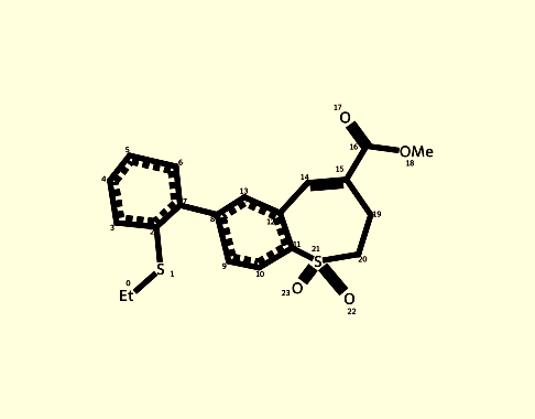 CCSc1ccccc1-c1ccc2c(c1)C=C(C(=O)OC)CCS2(=O)=O